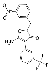 NC1=C(c2cccc(C(F)(F)F)c2)C(=O)C(Cc2cccc([N+](=O)[O-])c2)O1